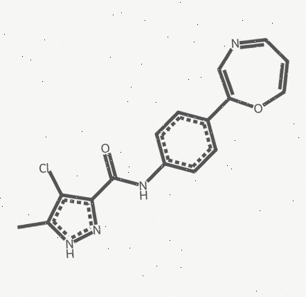 Cc1[nH]nc(C(=O)Nc2ccc(C3=CN=CC=CO3)cc2)c1Cl